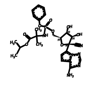 CC(C)OC(=O)C(C)(C)NP(=O)(OC[C@H]1O[C@@](C#N)(c2ccc3c(N)ncnn23)[C@H](O)[C@@H]1O)Oc1ccccc1